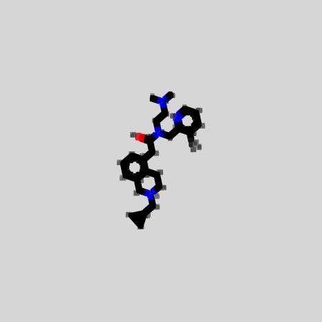 CN(C)CCN(Cc1ncccc1C(F)(F)F)C(=O)Cc1cccc2c1CCN(CC1CC1)C2